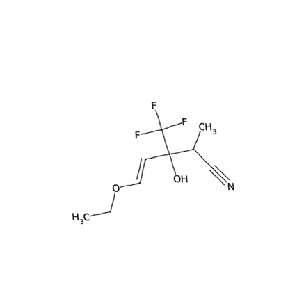 CCOC=CC(O)(C(C)C#N)C(F)(F)F